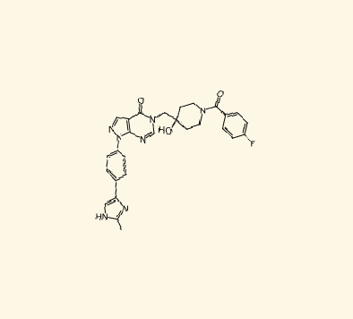 Cc1nc(-c2ccc(-n3ncc4c(=O)n(CC5(O)CCN(C(=O)c6ccc(F)cc6)CC5)cnc43)cc2)c[nH]1